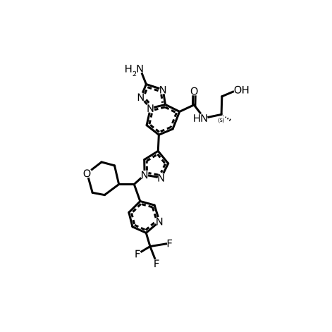 C[C@@H](CO)NC(=O)c1cc(-c2cnn(C(c3ccc(C(F)(F)F)nc3)C3CCOCC3)c2)cn2nc(N)nc12